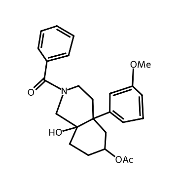 COc1cccc(C23CCN(C(=O)c4ccccc4)CC2(O)CCC(OC(C)=O)C3)c1